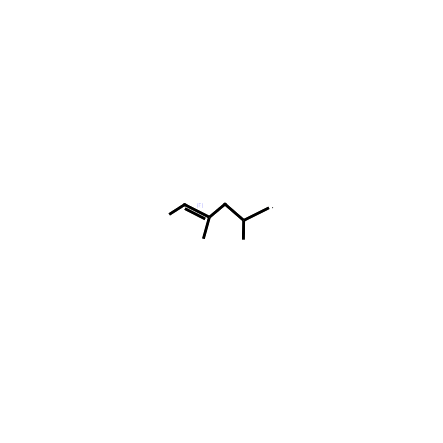 [CH2]C(C)C/C(C)=C/C